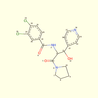 O=C(NC(C(=O)N1CCCC1)C(O)c1ccncc1)c1ccc(Cl)c(Cl)c1